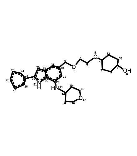 OC1CCC(OCCOCc2cc(NC3CCOCC3)c3[nH]c(-c4ccccc4)cc3c2)CC1